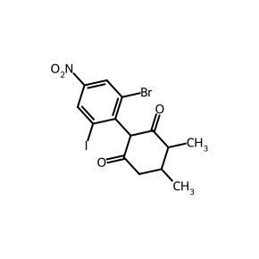 CC1CC(=O)C(c2c(Br)cc([N+](=O)[O-])cc2I)C(=O)C1C